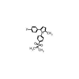 Cc1ccc(-c2ccc(F)cc2)n1-c1ccc(S(=O)(=O)N(C)C)cc1